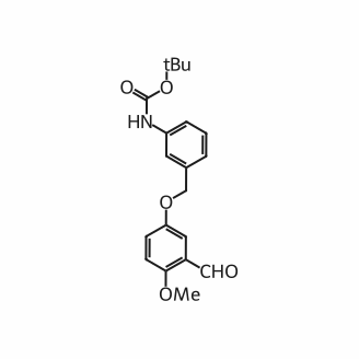 COc1ccc(OCc2cccc(NC(=O)OC(C)(C)C)c2)cc1C=O